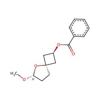 CO[C@H]1CC[C@]2(C[C@H](OC(=O)c3ccccc3)C2)O1